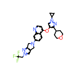 FC(F)(F)Cn1cc2c(n1)CN(c1ccc3c(Oc4cn(C5CC5)nc4C4CCOCC4)ccnc3c1)C2